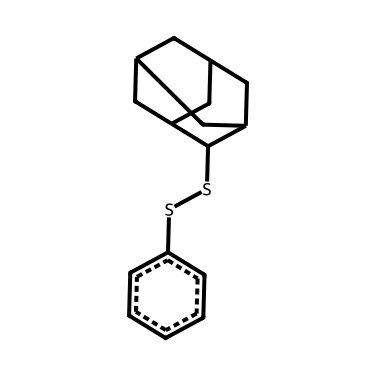 c1ccc(SSC2C3CC4CC(C3)CC2C4)cc1